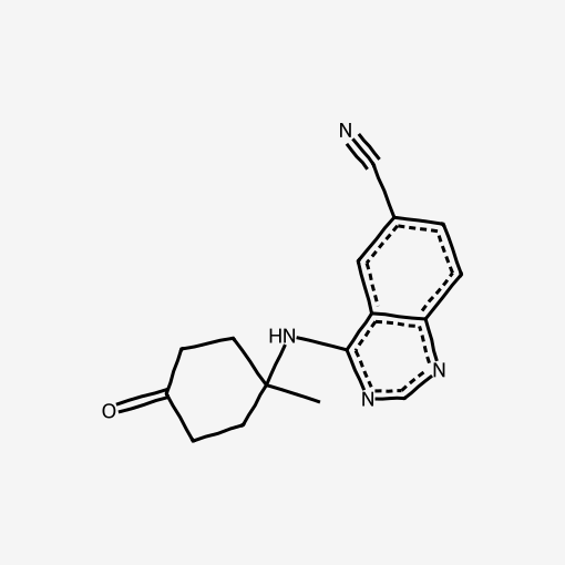 CC1(Nc2ncnc3ccc(C#N)cc23)CCC(=O)CC1